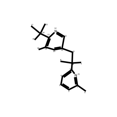 Cc1cccc(C(C)(C)Cc2cnc(C(C)(C)C)c(C)c2)n1